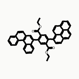 CCOC(=O)c1cc(-c2ccc3ccc4cccc5ccc2c3c45)c(C(=O)OCC)cc1-c1cc2ccc3ccccc3c2c2ccccc12